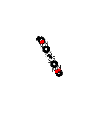 CC1(C)CC2C=CC1c1nc3cc4c(cc3nc12)SC(=C1Sc2cc3nc5c(nc3cc2S1)C1C=CC5CC1)S4